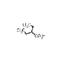 O=C(O)C(CC(Cl)(Cl)Cl)CC(Cl)(Cl)Cl